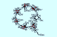 CCCCCCCCCCCCOS(=O)(=O)[O-].OC[C@H]1O[C@@H]2O[C@H]3[C@H](O)[C@@H](O)[C@@H](O[C@H]4[C@H](O)[C@@H](O)[C@@H](O[C@H]5[C@H](O)[C@@H](O)[C@@H](O[C@H]6[C@H](O)[C@@H](O)[C@@H](O[C@H]7[C@H](O)[C@@H](O)[C@@H](O[C@H]8[C@H](O)[C@@H](O)[C@@H](O[C@H]1[C@H](O)[C@H]2O)O[C@@H]8CO)O[C@@H]7CO)O[C@@H]6CO)O[C@@H]5CO)O[C@@H]4CO)O[C@@H]3CO.[Na+]